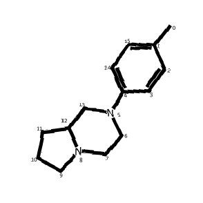 Cc1ccc(N2CCN3CCCC3C2)cc1